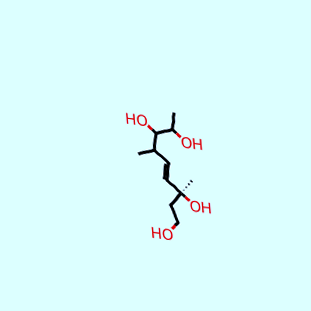 CC(O)C(O)C(C)C=C[C@@](C)(O)CCO